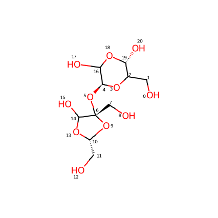 OCC1O[C@@H](O[C@]2(CO)O[C@H](CO)OC2O)C(O)O[C@@H]1O